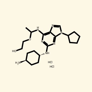 CC(Nc1nc(N[C@H]2CC[C@H](N)CC2)nc2c1ncn2C1CCCC1)OCCO.Cl.Cl